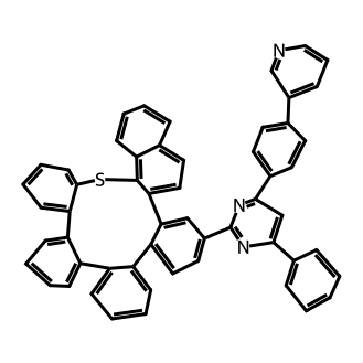 c1ccc(-c2cc(-c3ccc(-c4cccnc4)cc3)nc(-c3ccc4c(c3)-c3ccc5ccccc5c3Sc3ccccc3-c3ccccc3-c3ccccc3-4)n2)cc1